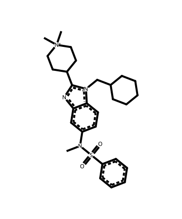 CN(c1ccc2c(c1)nc(C1CC[N+](C)(C)CC1)n2CC1CCCCC1)S(=O)(=O)c1ccccc1